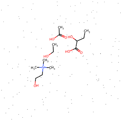 CC(=O)O.CCC(O)C(=O)O.CCO.C[N+](C)(C)CCO